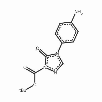 CC(C)(C)OC(=O)n1ncn(-c2ccc(N)cc2)c1=O